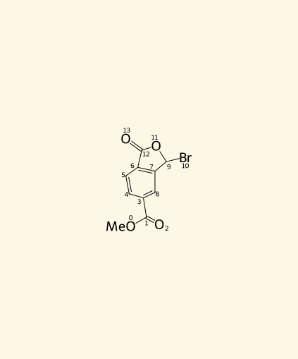 COC(=O)c1ccc2c(c1)C(Br)OC2=O